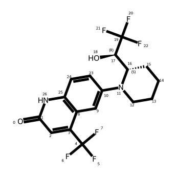 O=c1cc(C(F)(F)F)c2cc(N3CCCC[C@H]3[C@@H](O)C(F)(F)F)ccc2[nH]1